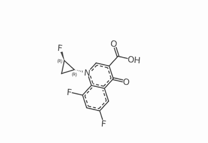 O=C(O)c1cn([C@@H]2C[C@H]2F)c2c(F)cc(F)cc2c1=O